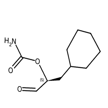 NC(=O)O[C@H](C=O)CC1CCCCC1